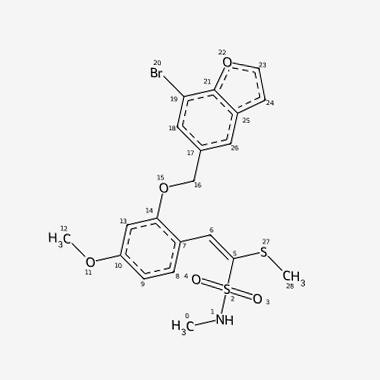 CNS(=O)(=O)C(=Cc1ccc(OC)cc1OCc1cc(Br)c2occc2c1)SC